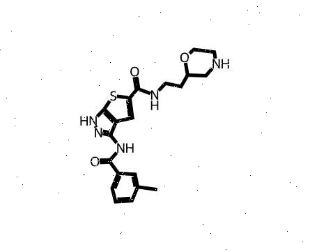 Cc1cccc(C(=O)Nc2n[nH]c3sc(C(=O)NCCC4CNCCO4)cc23)c1